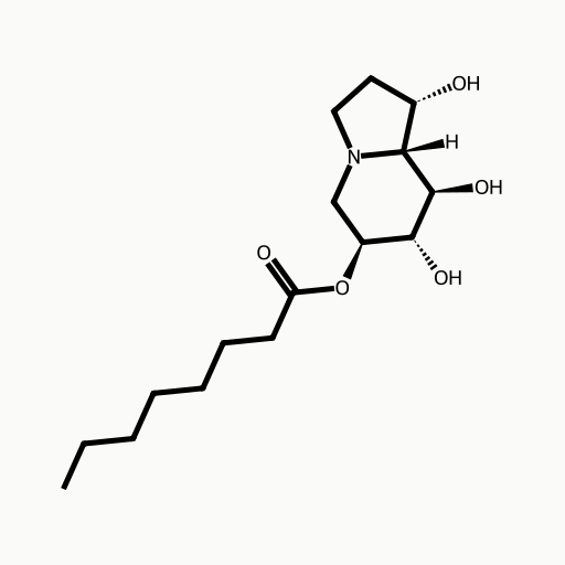 CCCCCCCC(=O)O[C@H]1CN2CC[C@H](O)[C@@H]2[C@@H](O)[C@@H]1O